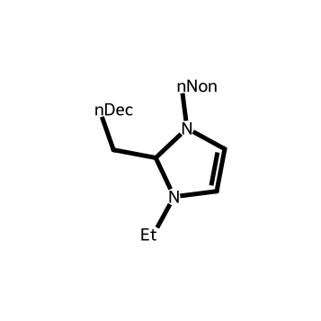 CCCCCCCCCCCC1N(CC)C=CN1CCCCCCCCC